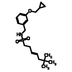 CC(C)(C)C/C=C/CCS(=O)(=O)NCc1cccc(OCC2CC2)c1